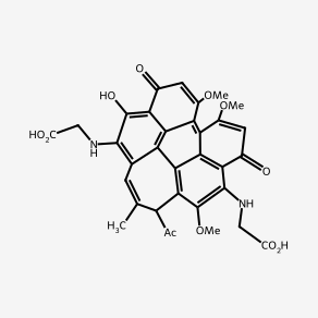 COc1c(NCC(=O)O)c2c(=O)cc(OC)c3c4c(OC)cc(=O)c5c(O)c(NCC(=O)O)c6c(c(c1C(C(C)=O)C(C)=C6)c23)c54